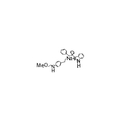 COCCNc1ccc(CCN[C@@H](C(=O)c2c[nH]c3ccccc23)c2ccccc2)cc1